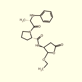 CCOC1OC(=O)C[C@@H]1NC(=O)[C@@H]1CCCN1C(=O)[C@H](C)Nc1ccccc1